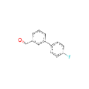 O=Cc1cccc(-c2c[c]c(F)cc2)c1